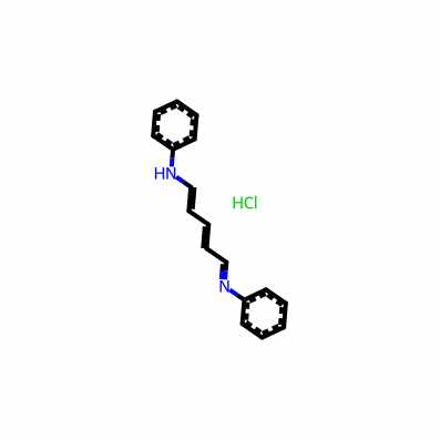 C(=CC=Nc1ccccc1)C=CNc1ccccc1.Cl